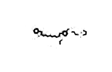 CCCN1/C(=C/C=C/C=C/C=C/C2=[N+](CCCS(=O)(=O)O)c3ccc(CN(C)CCCC(=O)ON4C(=O)CCC4=O)cc3C2(C)C)C(C)(C)c2cc(S(=O)(=O)O)ccc21